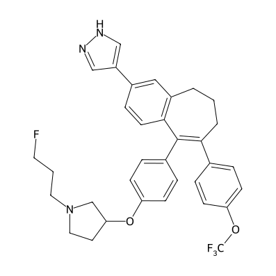 FCCCN1CCC(Oc2ccc(C3=C(c4ccc(OC(F)(F)F)cc4)CCCc4cc(-c5cn[nH]c5)ccc43)cc2)C1